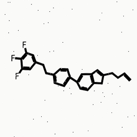 C=CCCC1=Cc2cc(-c3ccc(CCc4cc(F)c(F)c(F)c4)cc3)ccc2C1